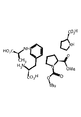 COC(=O)[C@@H]1CCCN1C(=O)OC(C)(C)C.C[C@H](N)C(=O)O.N[C@@H](Cc1ccccc1)C(=O)O.O=C(O)[C@@H]1CCCN1